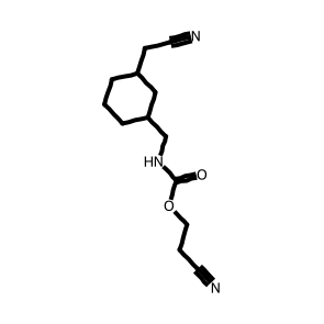 N#CCCOC(=O)NCC1CCCC(CC#N)C1